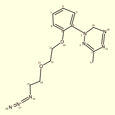 CC1=NN(c2ccccc2OCCOCCN=[N+]=[N-])CN=N1